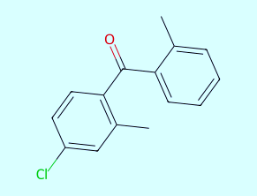 Cc1ccccc1C(=O)c1ccc(Cl)cc1C